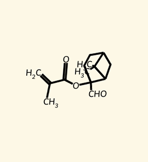 C=C(C)C(=O)OC1(C=O)CCC2CC1C2(C)C